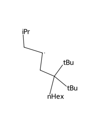 CCCCCCC(C[CH]CC(C)C)(C(C)(C)C)C(C)(C)C